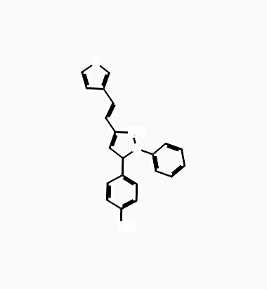 CC(C)(C)c1ccc(C2C=C(C=Cc3ccsc3)NN2c2ccccc2)cc1